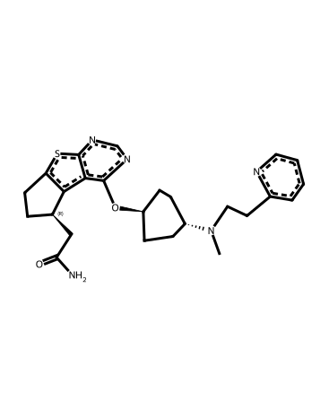 CN(CCc1ccccn1)[C@H]1CC[C@H](Oc2ncnc3sc4c(c23)[C@@H](CC(N)=O)CC4)CC1